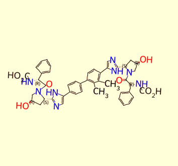 Cc1c(-c2ccc(-c3cnc([C@@H]4C[C@@H](O)CN4C(=O)[C@H](NC(=O)O)c4ccccc4)[nH]3)cc2)ccc(-c2cnc([C@@H]3C[C@@H](O)CN3C(=O)[C@H](NC(=O)O)c3ccccc3)[nH]2)c1C